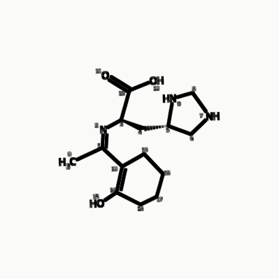 C/C(=N/[C@H](C[C@H]1CNCN1)C(=O)O)C1=C(O)CCCC1